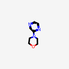 [c]1cnc(N2CCOCC2)cn1